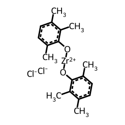 Cc1ccc(C)c([O][Zr+2][O]c2c(C)ccc(C)c2C)c1C.[Cl-].[Cl-]